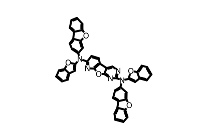 c1ccc2oc(N(c3ccc4c(c3)oc3ccccc34)c3ccc4c(n3)oc3nc(N(c5ccc6c(c5)oc5ccccc56)c5cc6ccccc6o5)ncc34)cc2c1